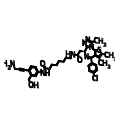 Cc1sc2c(c1C)C(c1ccc(Cl)cc1)=N[C@@H](CC(=O)NCCCCCCCC(=O)Nc1ccc(C#CCN)c(CO)c1)c1nnc(C)n1-2